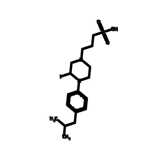 CC(C)Cc1ccc(N2CCN(CCCS(=O)(=O)O)CC2I)cc1